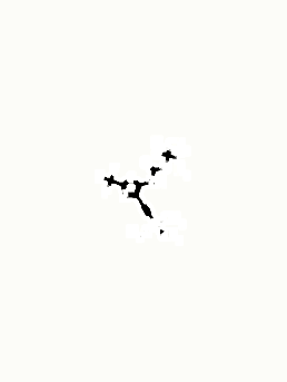 CC(C)(C)OC(=O)Nc1sc(C(F)(F)F)nc1C#C[Si](C)(C)C